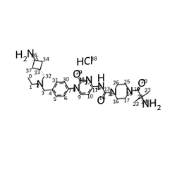 CCN(Cc1ccc(-n2ccc(NC(=O)N3CCN(C(=O)C(C)(C)N)CC3)nc2=O)cc1)C[C@H]1C[C@@H](N)C1.Cl